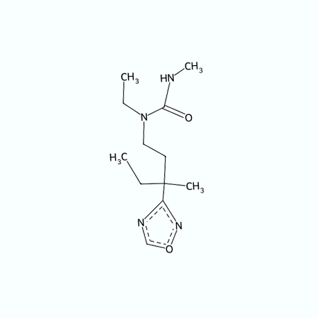 CCN(CCC(C)(CC)c1ncon1)C(=O)NC